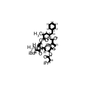 C=CCOC(=O)C(C)CC(Cc1ccccc1)NC(=O)c1csc([C@@H](C[C@H](C(C)C)N(C)C(=O)[C@@H](N)[C@@H](C)CC)OC(=O)CC(C)C)n1